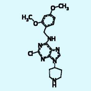 COc1ccc(CNc2nc(Cl)nc3c2ncn3C2CCNCC2)c(OC)c1